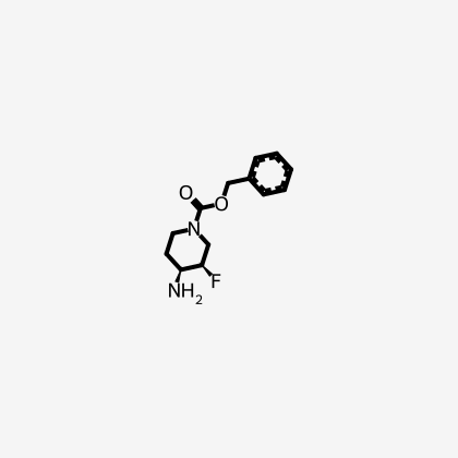 N[C@H]1CCN(C(=O)OCc2ccccc2)C[C@H]1F